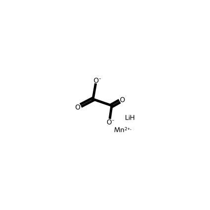 O=C([O-])C(=O)[O-].[LiH].[Mn+2]